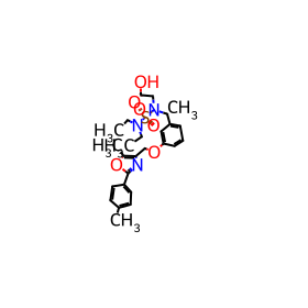 CCN(CC)S(=O)(=O)N(CC(=O)O)C(C)c1cccc(OCc2nc(-c3ccc(C)cc3)oc2C)c1